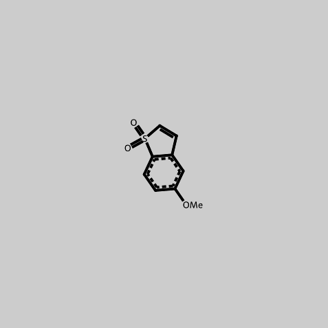 COc1ccc2c(c1)C=CS2(=O)=O